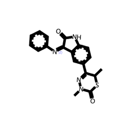 CC1SC(=O)N(C)N=C1c1ccc2c(c1)/C(=N/c1ccccc1)C(=O)N2